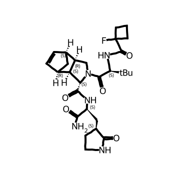 CC(C)(C)[C@H](NC(=O)C1(F)CCC1)C(=O)N1C[C@H]2[C@@H]([C@H]1C(=O)N[C@@H](C[C@@H]1CCNC1=O)C(N)=O)[C@H]1C=C[C@@H]2C1